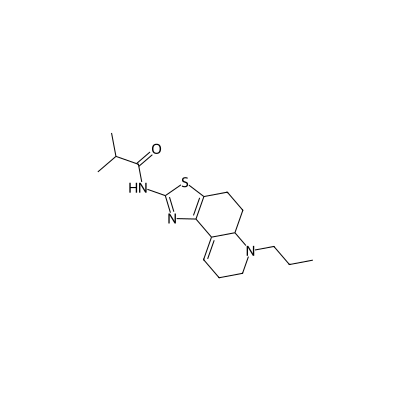 CCCN1CCC=C2c3nc(NC(=O)C(C)C)sc3CCC21